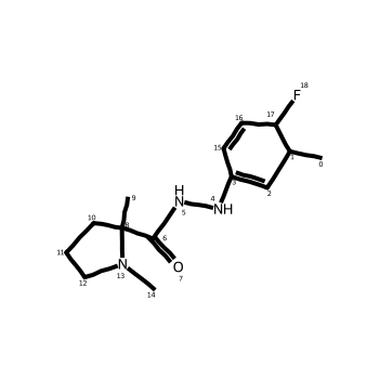 CC1C=C(NNC(=O)C2(C)CCCN2C)C=CC1F